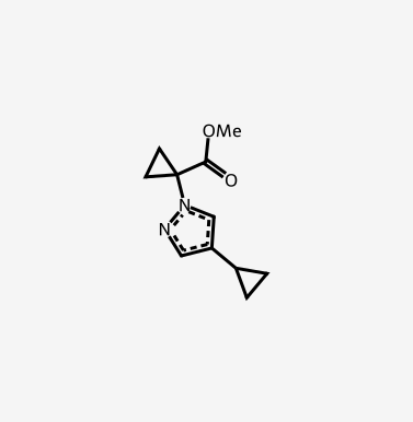 COC(=O)C1(n2cc(C3CC3)cn2)CC1